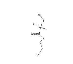 CC(C)CC(C)(C(=O)OCCC(F)(F)F)C(C)C